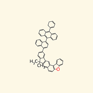 CC1(C)c2ccc(-c3ccc(-c4c5ccccc5c(C5=CC=CCC5)c5ccccc45)c4ccccc34)cc2-c2cc3c(ccc4oc5ccccc5c43)cc21